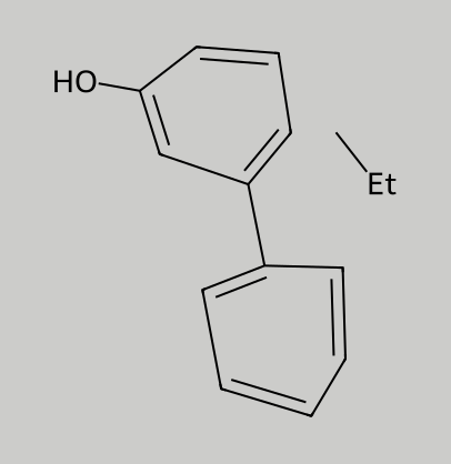 CCC.Oc1cccc(-c2ccccc2)c1